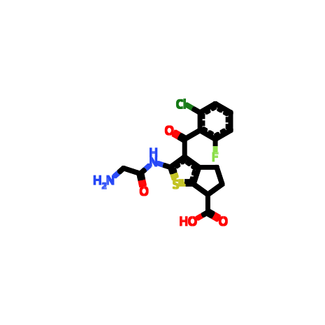 NCC(=O)Nc1sc2c(c1C(=O)c1c(F)cccc1Cl)CCC2C(=O)O